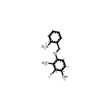 Cc1c(OCc2ccccc2[N+](=O)[O-])ccc(O)c1F